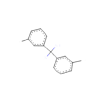 Cc1cccc(C(N)(N)c2cccc(C)c2)c1